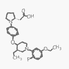 CCOc1ccc(F)c(N2CCC(Oc3ccc(N4CCC[C@@H]4CC(=O)O)cc3)C(CC)C2)c1